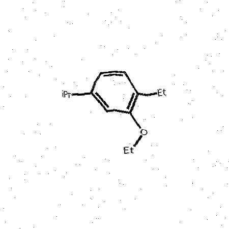 CCOc1cc(C(C)C)ccc1CC